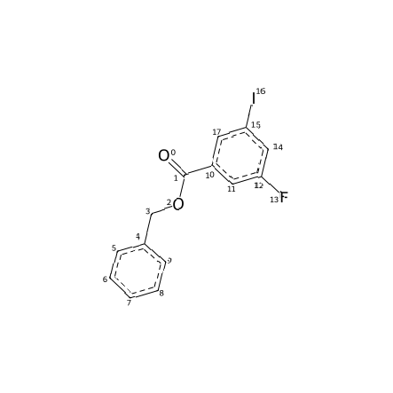 O=C(OCc1ccccc1)c1cc(F)cc(I)c1